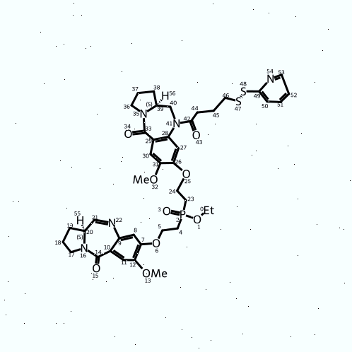 CCOP(=O)(CCOc1cc2c(cc1OC)C(=O)N1CCC[C@H]1C=N2)CCOc1cc2c(cc1OC)C(=O)N1CCC[C@H]1CN2C(=O)CCCSSc1ccccn1